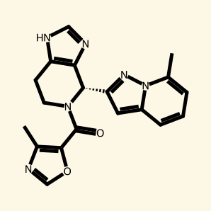 Cc1ncoc1C(=O)N1CCc2[nH]cnc2[C@@H]1c1cc2cccc(C)n2n1